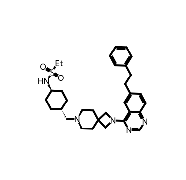 CCS(=O)(=O)N[C@H]1CC[C@H](CN2CCC3(CC2)CN(c2ncnc4ccc(CCc5ccccc5)cc24)C3)CC1